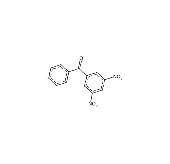 O=C(c1cc[c]cc1)c1cc([N+](=O)[O-])cc([N+](=O)[O-])c1